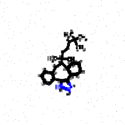 CC(C)(C)CCCC(C)(C)C1Cc2ccccc2-c2[nH]nnc2-c2ccccc21